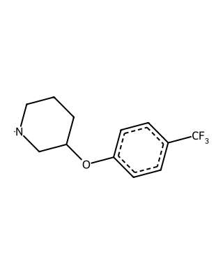 FC(F)(F)c1ccc(OC2CCC[N]C2)cc1